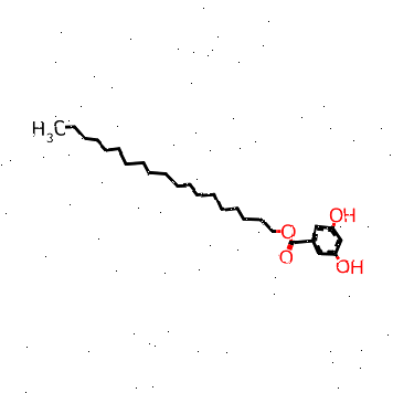 CCCCCCCCCCCCCCCCCCCOC(=O)c1cc(O)cc(O)c1